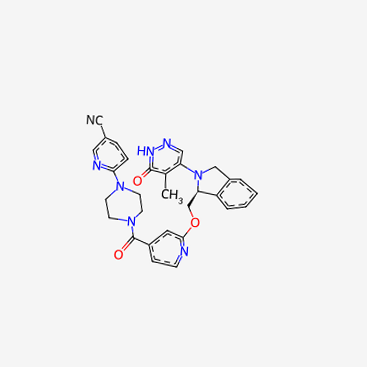 Cc1c(N2Cc3ccccc3[C@H]2COc2cc(C(=O)N3CCN(c4ccc(C#N)cn4)CC3)ccn2)cn[nH]c1=O